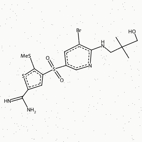 CSc1sc(C(=N)N)cc1S(=O)(=O)c1cnc(NCC(C)(C)CO)c(Br)c1